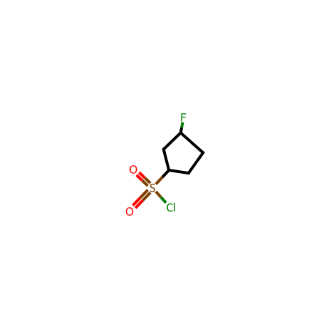 O=S(=O)(Cl)C1CCC(F)C1